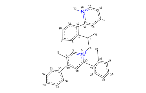 Cc1c[n+](CC(C)c2ccccc2-c2cccc[n+]2C)c(-c2ccccc2C)cc1-c1ccccc1